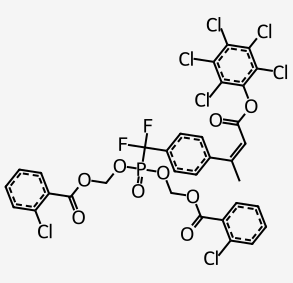 CC(=CC(=O)Oc1c(Cl)c(Cl)c(Cl)c(Cl)c1Cl)c1ccc(C(F)(F)P(=O)(OCOC(=O)c2ccccc2Cl)OCOC(=O)c2ccccc2Cl)cc1